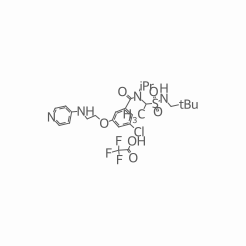 CC(C)N(C(=O)c1cc(Cl)cc(OCCNc2ccncc2)c1)C(C)S(=O)(=O)NCC(C)(C)C.O=C(O)C(F)(F)F